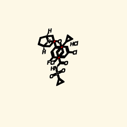 Cl.O=C(NS(=O)(=O)C1CC1)c1cc(C2CC2)c(CN2[C@@H]3CC[C@H]2CC(Oc2cc(Cl)cc(Cl)c2)C3)cc1F